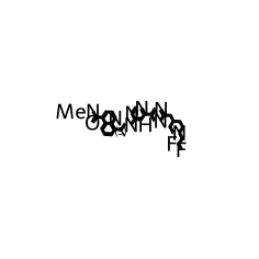 CNC(=O)c1ccnc2c([C@H](C)CNc3cc(-c4cnc(CC5CCN(CC(F)F)CC5)nc4)ncn3)cccc12